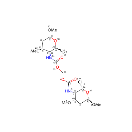 CO[C@H]1C[C@H](OC)[C@H](NC(=O)OCOC(=O)N[C@@H]2[C@H](C)O[C@@H](OC)C[C@@H]2OC)[C@H](C)O1